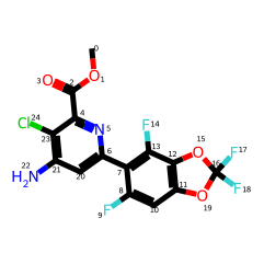 COC(=O)c1nc(-c2c(F)cc3c(c2F)OC(F)(F)O3)cc(N)c1Cl